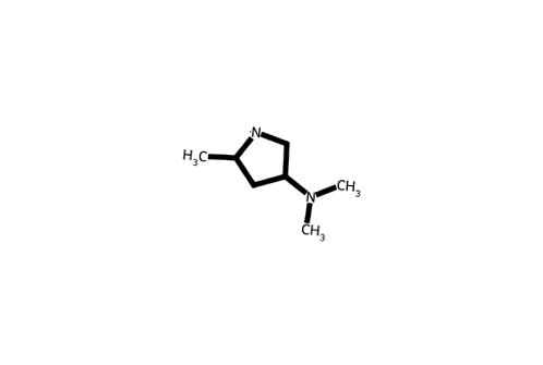 CC1CC(N(C)C)C[N]1